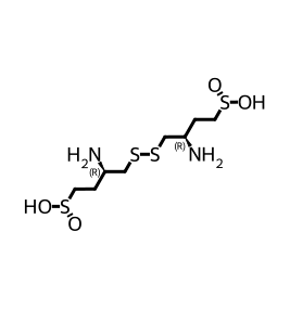 N[C@H](CCS(=O)O)CSSC[C@H](N)CCS(=O)O